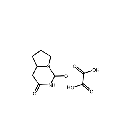 O=C(O)C(=O)O.O=C1CC2CCCN2C(=O)N1